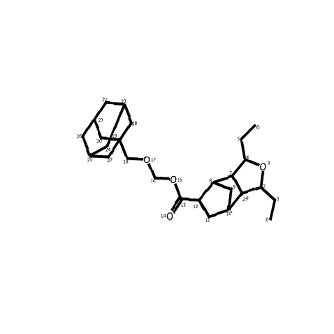 CCC1OC(CC)C2C3CC(CC3C(=O)OCOCC34CC5CC(CC(C5)C3)C4)C12